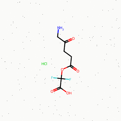 Cl.NCC(=O)CCC(=O)OC(F)(F)C(=O)O